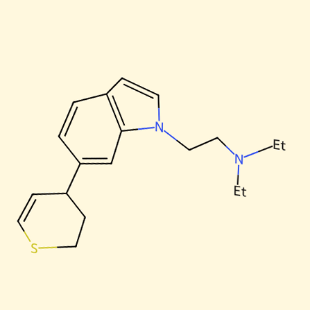 CCN(CC)CCn1ccc2ccc(C3C=CSCC3)cc21